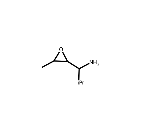 CC(C)C(N)C1OC1C